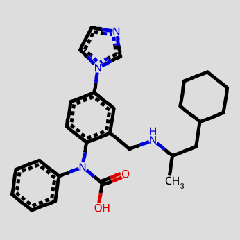 CC(CC1CCCCC1)NCc1cc(-n2ccnc2)ccc1N(C(=O)O)c1ccccc1